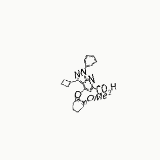 CO[C@H]1CCCC[C@@H]1Oc1cc(C(=O)O)nc2c1c(C1CCC1)nn2-c1ccccc1